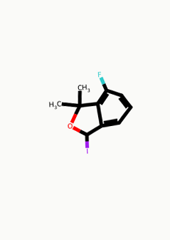 CC1(C)OC(I)c2cccc(F)c21